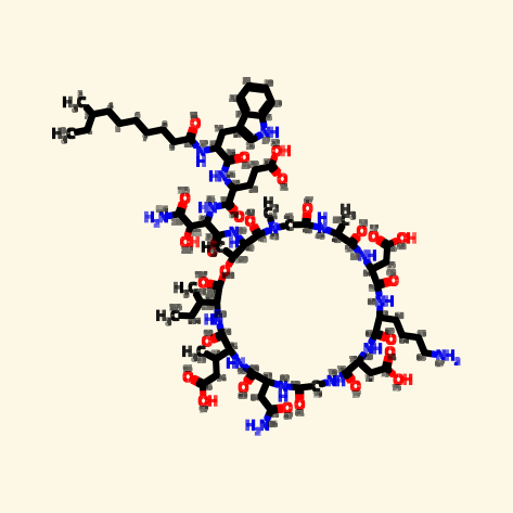 CCC(C)CCCCCCC(=O)NC(Cc1c[nH]c2ccccc12)C(=O)NC(CCC(=O)O)C(=O)NC(C(=O)NC1C(=O)N(C)CC(=O)NC(C)C(=O)NC(CC(=O)O)C(=O)NC(CCCCN)C(=O)NC(CC(=O)O)C(=O)NCC(=O)NC(CC(N)=O)C(=O)NC(C(C)CC(=O)O)C(=O)NC(C(C)CC)C(=O)OC1C)C(O)C(N)=O